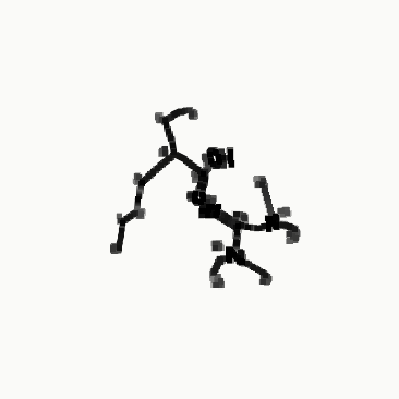 CCCCC(CC)C(=O)O.CN(C)C(=N)N(C)C